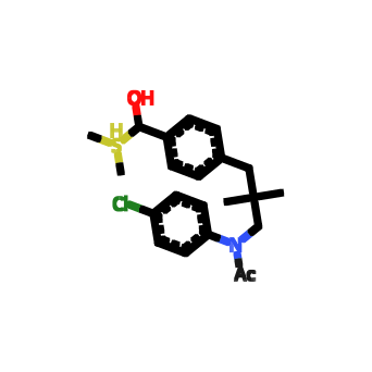 CC(=O)N(CC(C)(C)Cc1ccc(C(O)[SH](C)C)cc1)c1ccc(Cl)cc1